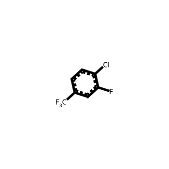 Fc1[c]c(C(F)(F)F)ccc1Cl